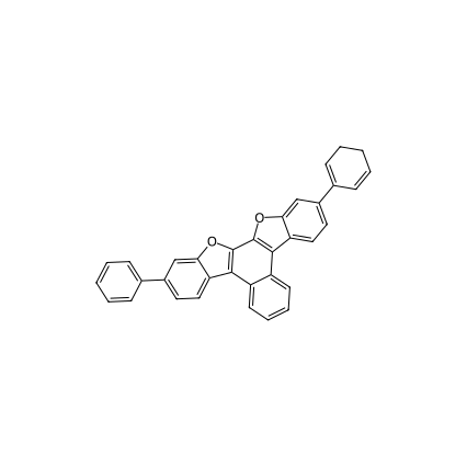 C1=CC(c2ccc3c(c2)oc2c4oc5cc(-c6ccccc6)ccc5c4c4ccccc4c32)=CCC1